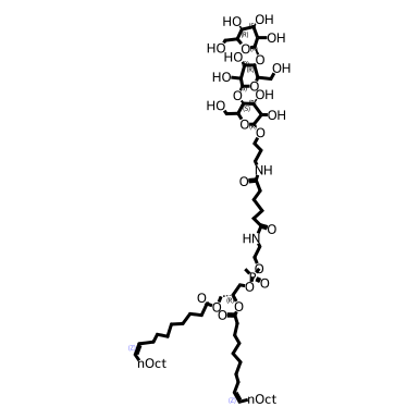 CCCCCCCC/C=C\CCCCCCCC(=O)OC[C@H](COP(C)(=O)OCCNC(=O)CCCCC(=O)NCCCO[C@@H]1OC(CO)[C@@H](O[C@@H]2OC(CO)[C@H](O[C@H]3OC(CO)[C@H](O)[C@H](O)C3O)[C@H](O)C2O)[C@H](O)C1O)OC(=O)CCCCCCC/C=C\CCCCCCCC